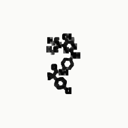 Cc1cnc(NC2CCC(NC(=O)C3(c4ccc(Cl)cc4)CC3)CC2)nc1N(C)C